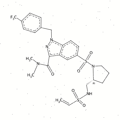 C=CS(=O)(=O)NC[C@H]1CCCN1S(=O)(=O)c1ccc2c(c1)c(C(=O)N(C)C)nn2Cc1ccc(C(F)(F)F)cc1